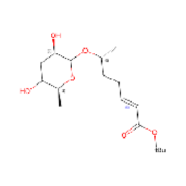 C[C@H](CC/C=C/C(=O)OC(C)(C)C)OC1O[C@@H](C)C(O)C[C@H]1O